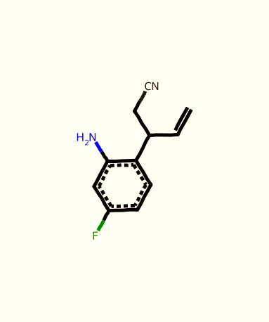 C=CC(CC#N)c1ccc(F)cc1N